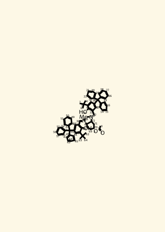 CC(=O)[O-].CC(C)(C)c1cc(C(c2ccccc2)(c2ccccc2)c2ccccc2)cc(C=[N+]2[Mn][N+](=Cc3cc(C(c4ccccc4)(c4ccccc4)c4ccccc4)cc(C(C)(C)C)c3O)C3CCCCC32)c1O